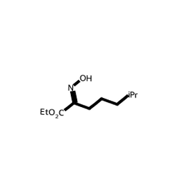 CCOC(=O)C(CCCC(C)C)=NO